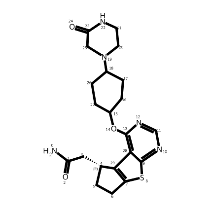 NC(=O)C[C@H]1CCc2sc3ncnc(OC4CCC(N5CCNC(=O)C5)CC4)c3c21